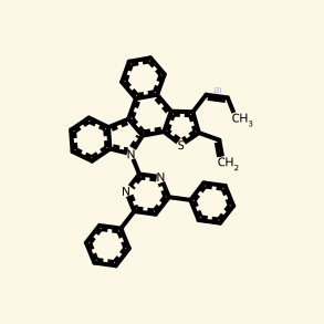 C=Cc1sc2c(c1/C=C\C)c1ccccc1c1c3ccccc3n(-c3nc(-c4ccccc4)cc(-c4ccccc4)n3)c21